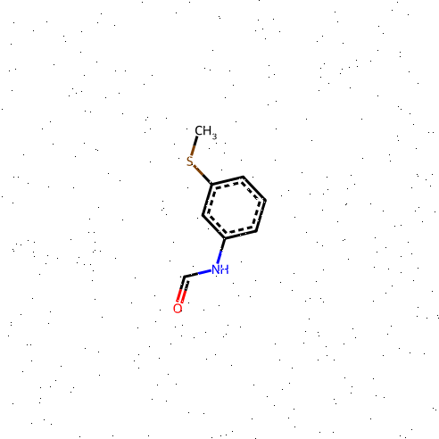 CSc1cccc(N[C]=O)c1